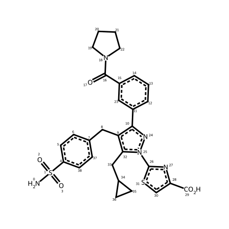 NS(=O)(=O)c1ccc(Cc2c(-c3cccc(C(=O)N4CCCC4)c3)nn(-c3nc(C(=O)O)cs3)c2CC2CC2)cc1